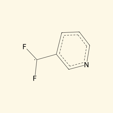 F[C](F)c1cccnc1